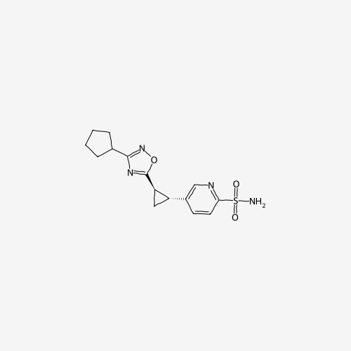 NS(=O)(=O)c1ccc([C@@H]2C[C@H]2c2nc(C3CCCC3)no2)cn1